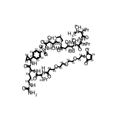 CC[C@H](C)C([C@@H](CC(=O)N1CCC[C@H]1[C@H](OC)[C@@H](C)C(=O)NS(=O)(=O)c1ccc(C2(NC(=O)[C@H](CCCNC(N)=O)NC(=O)[C@@H](NC(=O)CCOCCOCCOCCN3C(=O)C=CC3=O)C(C)C)CC2)cc1)OC)N(C)C(=O)[C@@H](NC(=O)[C@H](C(C)C)N(C)C)C(C)C